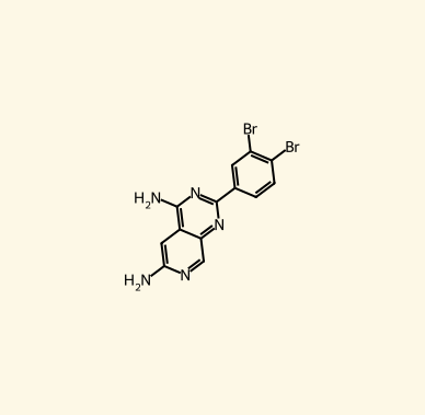 Nc1cc2c(N)nc(-c3ccc(Br)c(Br)c3)nc2cn1